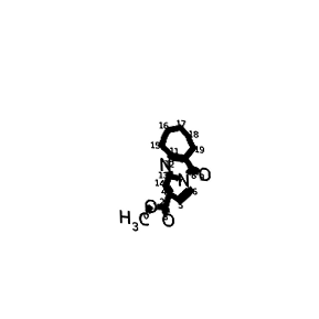 COC(=O)c1ccn2c(=O)c3c(nc2c1)CCCCC3